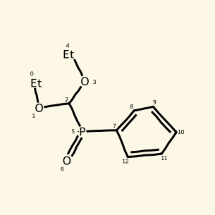 CCOC(OCC)[P](=O)c1ccccc1